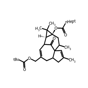 CCCCCCCC(=O)O[C@@]12CC(C)C34C=C(C)CC3CC(COC(=O)C(C)(C)C)=CC(C4=O)[C@H]1C2(C)C